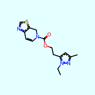 CCn1nc(C)cc1CCOC(=O)N1C=Cc2ncsc2C1